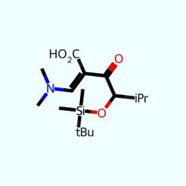 CC(C)C(O[Si](C)(C)C(C)(C)C)C(=O)C(=CN(C)C)C(=O)O